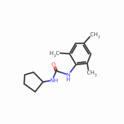 Cc1cc(C)c(NC(=O)NC2CCCC2)c(C)c1